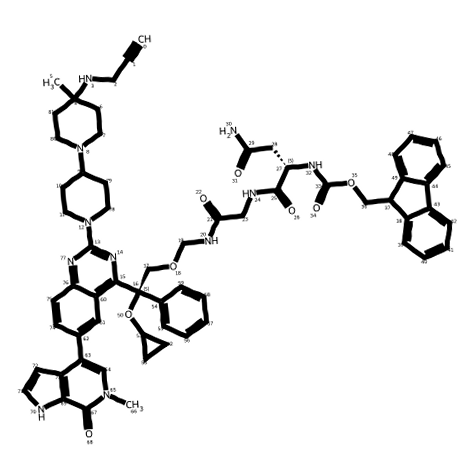 C#CCNC1(C)CCN(C2CCN(c3nc([C@@](COCNC(=O)CNC(=O)[C@H](CC(N)=O)NC(=O)OCC4c5ccccc5-c5ccccc54)(OC4CC4)c4ccccc4)c4cc(-c5cn(C)c(=O)c6[nH]ccc56)ccc4n3)CC2)CC1